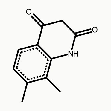 Cc1ccc2c(c1C)NC(=O)CC2=O